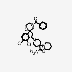 NC(=O)C1(N2CCCCC2)CCN(CCC2(c3ccc(Cl)c(Cl)c3)CN(C(=O)c3ccccc3)CCO2)CC1